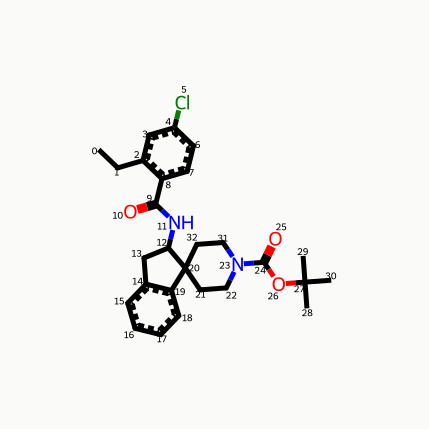 CCc1cc(Cl)ccc1C(=O)NC1Cc2ccccc2C12CCN(C(=O)OC(C)(C)C)CC2